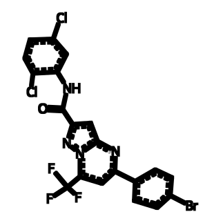 O=C(Nc1cc(Cl)ccc1Cl)c1cc2nc(-c3ccc(Br)cc3)cc(C(F)(F)F)n2n1